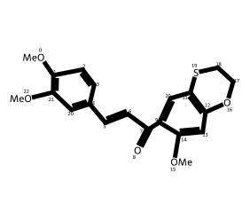 COc1ccc(/C=C/C(=O)c2cc3c(cc2OC)OCCS3)cc1OC